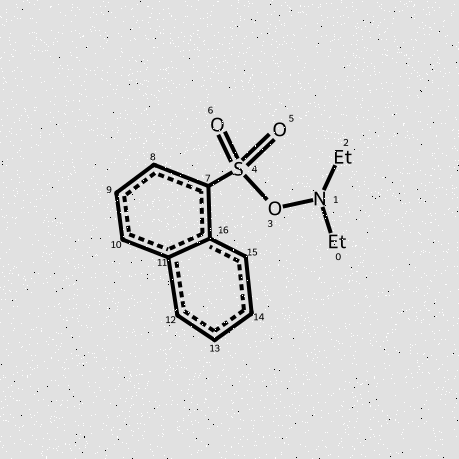 CCN(CC)OS(=O)(=O)c1cccc2ccccc12